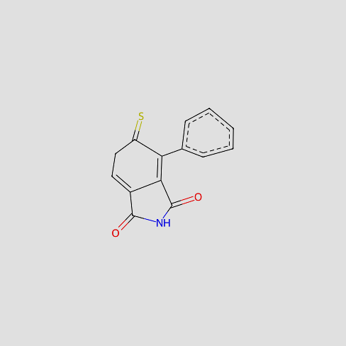 O=C1NC(=O)C2=C(c3ccccc3)C(=S)CC=C12